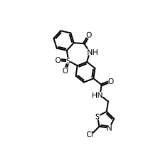 O=C(NCc1cnc(Cl)s1)c1ccc2c(c1)NC(=O)c1ccccc1S2(=O)=O